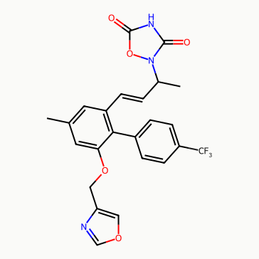 Cc1cc(C=CC(C)n2oc(=O)[nH]c2=O)c(-c2ccc(C(F)(F)F)cc2)c(OCc2cocn2)c1